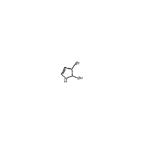 CC(C)C1C=CNC1C(C)(C)C